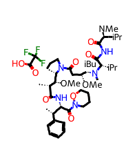 CC[C@H](C)[C@@H]([C@@H](CC(=O)N1CCC[C@H]1[C@H](OC)[C@@H](C)C(=O)N[C@H](C(=O)N1CCCCO1)[C@@H](C)c1ccccc1)OC)N(C)[C@H](C(=O)NC(=O)[C@@H](NC)C(C)C)C(C)C.O=C(O)C(F)(F)F